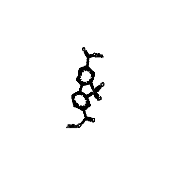 COC(=O)c1ccc2c(c1)S(=O)(=O)c1cc(C(=O)OC)ccc1-2